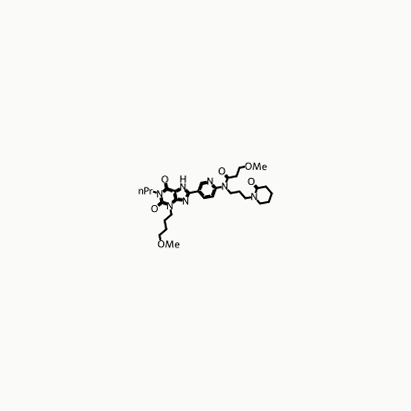 CCCn1c(=O)c2[nH]c(-c3ccc(N(CCCN4CCCCC4=O)C(=O)CCOC)nc3)nc2n(CCCCOC)c1=O